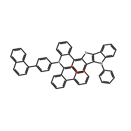 c1ccc(-n2c3ccccc3c3sc4c(-c5ccccc5N(c5ccc(-c6cccc7ccccc67)cc5)c5cc6ccccc6c6ccccc56)cccc4c32)cc1